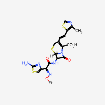 CCON=C(C(=O)NC1C(=O)N2C(C(=O)O)=C(C=Cc3scnc3C)CS[C@@H]12)c1csc(N)n1